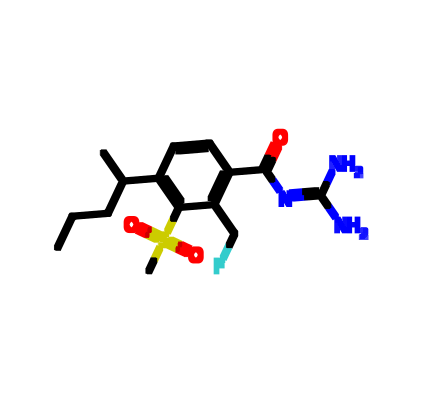 CCCC(C)c1ccc(C(=O)N=C(N)N)c(CF)c1S(C)(=O)=O